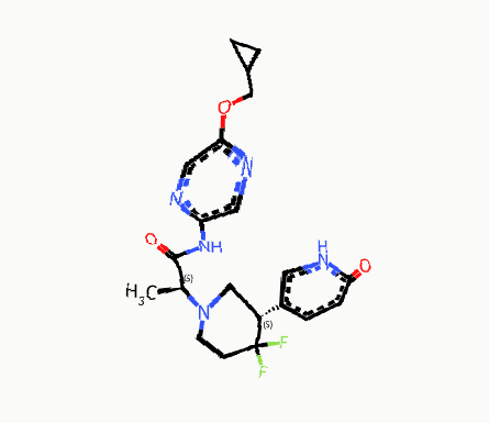 C[C@@H](C(=O)Nc1cnc(OCC2CC2)cn1)N1CCC(F)(F)[C@@H](c2ccc(=O)[nH]c2)C1